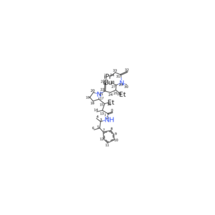 C=C(NC(C)C(C)c1ccccc1)C(C)C(CC)C1CCCN1C(=C)CC(CC)C(C(C)CC)N(C)C(=C)CC(C)C